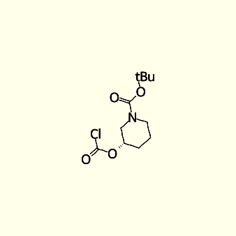 CC(C)(C)OC(=O)N1CCC[C@H](OC(=O)Cl)C1